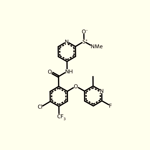 CN[S+]([O-])c1cc(NC(=O)c2cc(Cl)c(C(F)(F)F)cc2Oc2ccc(F)nc2C)ccn1